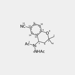 CC(=O)NN(C(C)=O)C1CC(C)(C)Oc2ccc(C#N)cc21